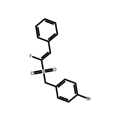 O=S(=O)(Cc1ccc(Br)cc1)C(F)=Cc1ccccc1